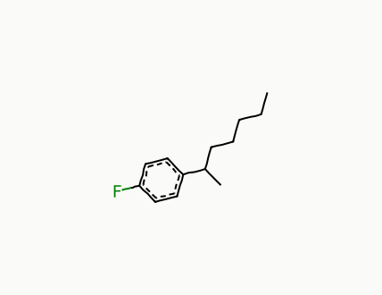 CCCCCC(C)c1ccc(F)cc1